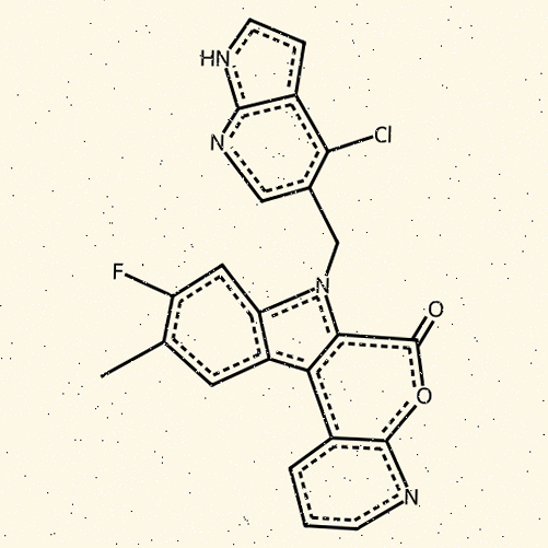 Cc1cc2c3c4cccnc4oc(=O)c3n(Cc3cnc4[nH]ccc4c3Cl)c2cc1F